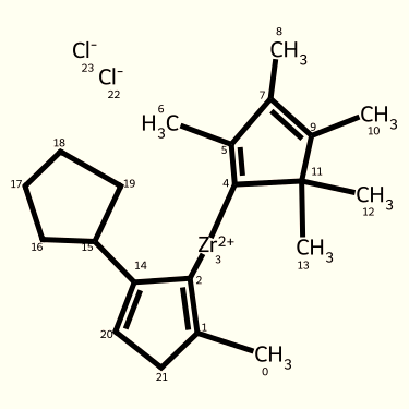 CC1=[C]([Zr+2][C]2=C(C)C(C)=C(C)C2(C)C)C(C2CCCC2)=CC1.[Cl-].[Cl-]